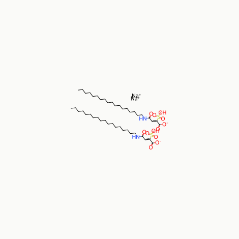 CCCCCCCCCCCCCCCCCCNC(=O)C=C(C(=O)[O-])S(=O)(=O)O.CCCCCCCCCCCCCCCCCCNC(=O)C=C(C(=O)[O-])S(=O)(=O)O.[Na+].[Na+]